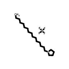 CCCCCCCCCCCCCCCCN1CCCC1.F[B-](F)(F)F